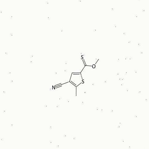 COC(=S)c1cc(C#N)c(C)s1